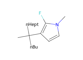 CCCCCCCC(C)(CCCC)c1ccn(C)c1F